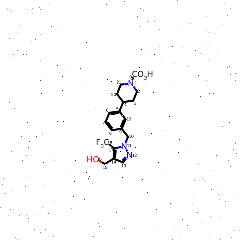 O=C(O)N1CCC(c2cccc(Cn3ncc(CO)c3C(F)(F)F)c2)CC1